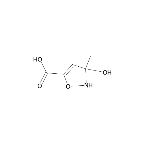 CC1(O)C=C(C(=O)O)ON1